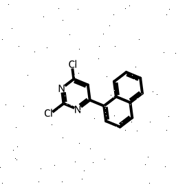 Clc1cc(-c2cccc3ccccc23)nc(Cl)n1